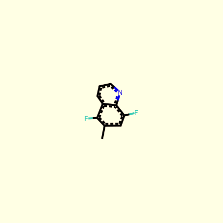 Cc1cc(F)c2ncccc2c1F